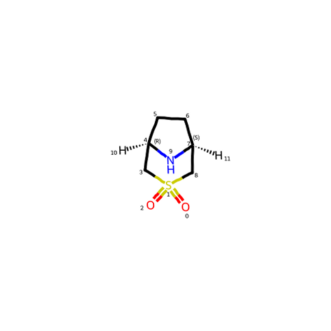 O=S1(=O)C[C@H]2CC[C@@H](C1)N2